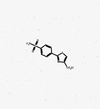 CCOC(=O)c1csc(-c2ccc(S(N)(=O)=O)cc2)n1